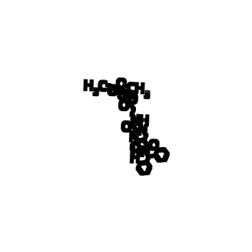 CCOC(=O)OC(C)OC(=O)CCNC(=O)c1ncc(C(=O)NC(c2ccccc2)c2ccccc2)c(O)n1